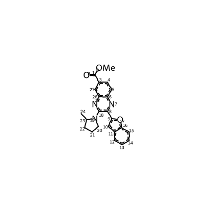 COC(=O)c1ccc2nc(-c3cc4ccccc4o3)c(N3CCCC3C)nc2c1